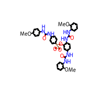 COc1ccc(NC(=O)Nc2ccc(S(=O)(=O)Oc3cc(NC(=O)Nc4ccccc4OC)ccc3NC(=O)Nc3ccccc3OC)cc2)cc1